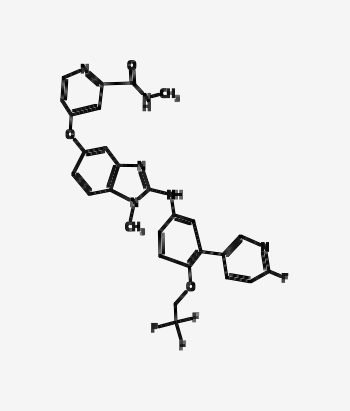 CNC(=O)c1cc(Oc2ccc3c(c2)nc(Nc2ccc(OCC(F)(F)F)c(-c4ccc(F)nc4)c2)n3C)ccn1